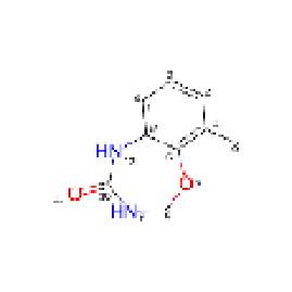 Cc1cccc2c1OCNC(=O)N2